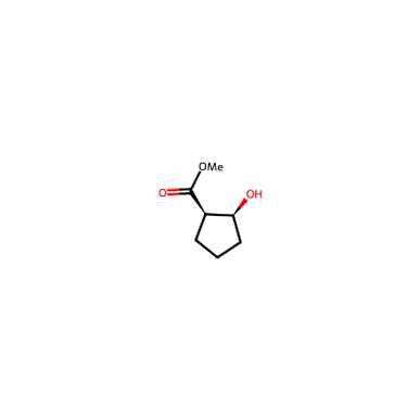 COC(=O)[C@@H]1CCC[C@@H]1O